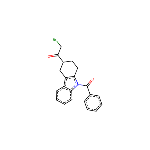 O=C(CBr)C1CCc2c(c3ccccc3n2C(=O)c2ccccc2)C1